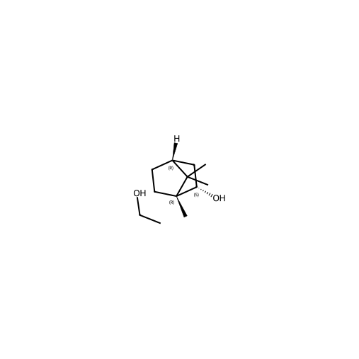 CC1(C)[C@@H]2CC[C@@]1(C)[C@@H](O)C2.CCO